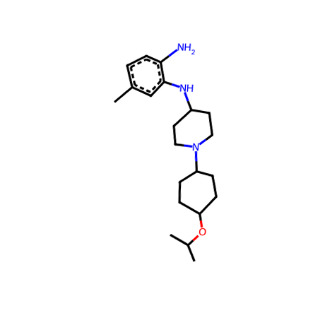 Cc1ccc(N)c(NC2CCN(C3CCC(OC(C)C)CC3)CC2)c1